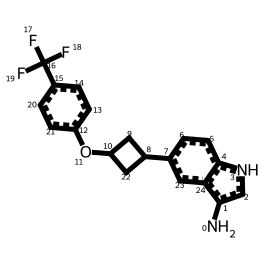 Nc1c[nH]c2ccc(C3CC(Oc4ccc(C(F)(F)F)cc4)C3)cc12